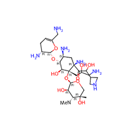 CN[C@@H]1[C@@H](O)[C@@H](O[C@]2(CC(O)CN)[C@@H](O)[C@H](O[C@H]3OC(CN)=CC[C@H]3N)[C@@H](N)C[C@]2(N)C(=O)C(O)C2CNC2)OC[C@]1(C)O